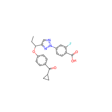 CCC(Oc1ccc(C(=O)C2CC2)cc1)c1cnn(-c2ccc(C(=O)O)c(F)c2)n1